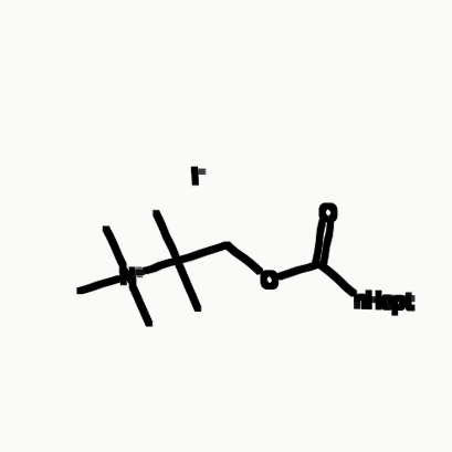 CCCCCCCC(=O)OCC(C)(C)[N+](C)(C)C.[I-]